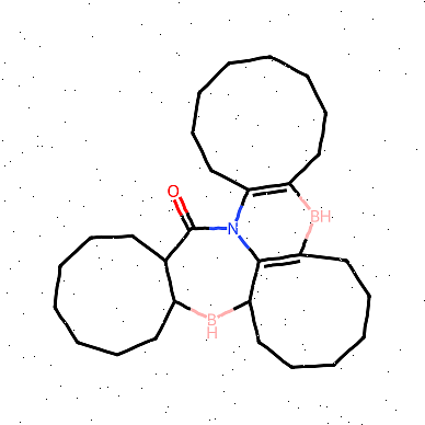 O=C1C2CCCCCCCC2BC2CCCCCCC3=C2N1C1=C(B3)CCCCCCCC1